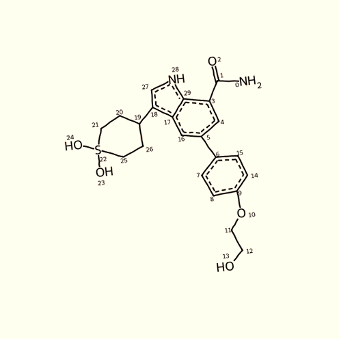 NC(=O)c1cc(-c2ccc(OCCO)cc2)cc2c(C3CCS(O)(O)CC3)c[nH]c12